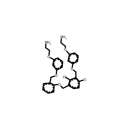 NCCOc1cccc(OCc2ccccc2OCc2ccc(Cl)c(COc3cccc(OCCN)c3)c2Cl)c1